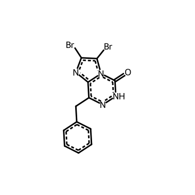 O=c1[nH]nc(Cc2ccccc2)c2nc(Br)c(Br)n12